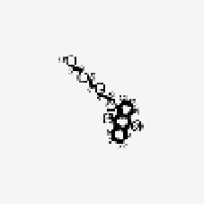 COCCOCCOCCOc1cccc2c1C(=O)c1ccccc1C2=O